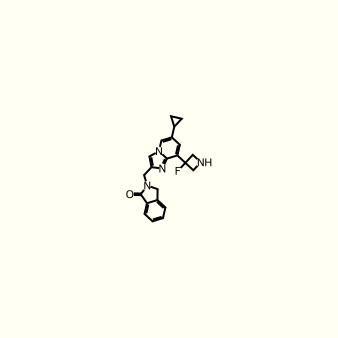 O=C1c2ccccc2CN1Cc1cn2cc(C3CC3)cc(C3(F)CNC3)c2n1